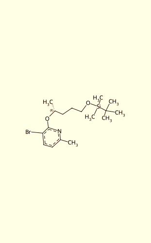 Cc1ccc(Br)c(O[C@H](C)CCCO[Si](C)(C)C(C)(C)C)n1